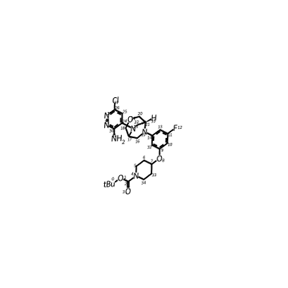 CC(C)(C)OC(=O)N1CCC(Oc2cc(F)cc(N3CC4COC[C@H]3CN4c3cc(Cl)nnc3N)c2)CC1